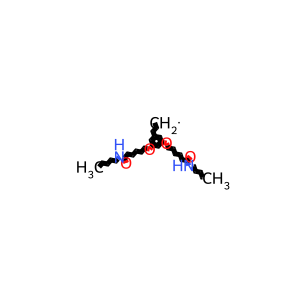 [CH2]CCc1cc(OCCCCCC(=O)NCCCCC)cc(OCCCCCC(=O)NCCCCC)c1